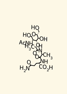 CC(=O)N[C@H]1C(O)O[C@H](CO)[C@@H](O)[C@@H]1O[C@H](C)C(=O)N[C@@H](C)C(=O)N[C@H](CCC(N)=O)C(=O)O